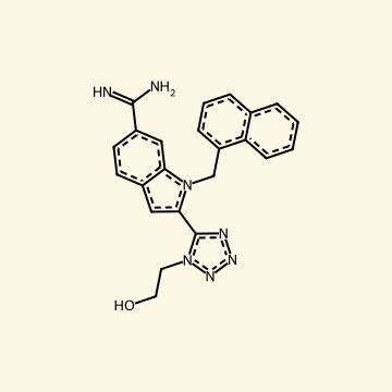 N=C(N)c1ccc2cc(-c3nnnn3CCO)n(Cc3cccc4ccccc34)c2c1